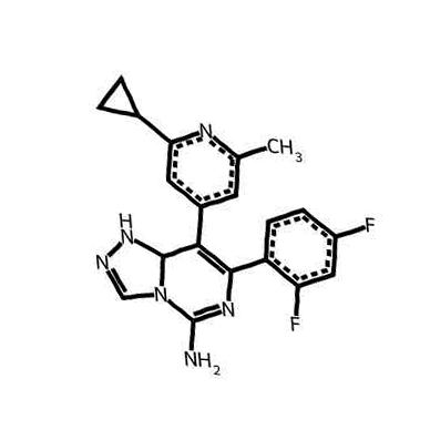 Cc1cc(C2=C(c3ccc(F)cc3F)N=C(N)N3C=NNC23)cc(C2CC2)n1